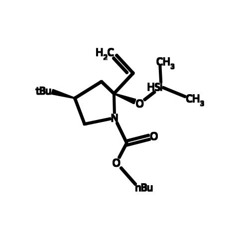 C=C[C@@]1(O[SiH](C)C)C[C@H](C(C)(C)C)CN1C(=O)OCCCC